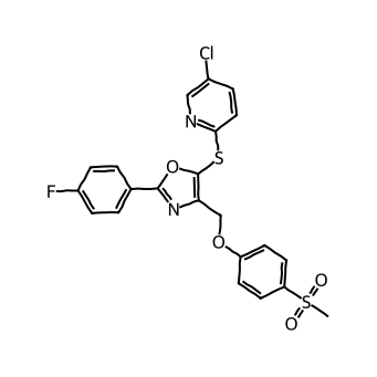 CS(=O)(=O)c1ccc(OCc2nc(-c3ccc(F)cc3)oc2Sc2ccc(Cl)cn2)cc1